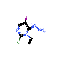 C=Cn1c(Cl)ncc(I)/c1=N/N